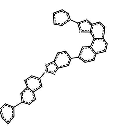 c1ccc(-c2ccc3cc(-n4nc5ccc(-c6ccc7ccc8ccc9nc(-c%10ccccc%10)oc9c8c7c6)cc5n4)ccc3c2)cc1